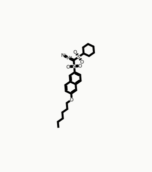 CCCCCCOc1ccc2cc(S(=O)(=O)C(=[N+]=[N-])S(=O)(=O)C3CCCCC3)ccc2c1